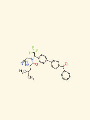 CC(C)C[C@H](N)C(=O)N(CC#N)[C@@H](c1ccc(-c2ccc(C(=O)c3ccccc3)cc2)cc1)C(F)(F)F